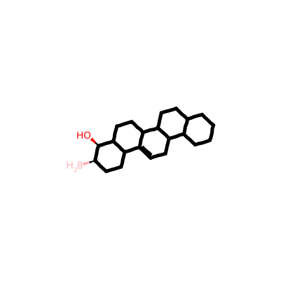 B[C@@H]1CCC2C3=CCC4C5CCCCC5CCC4C3CCC2[C@@H]1O